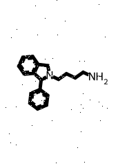 NCCCCN1Cc2ccccc2C1c1ccccc1